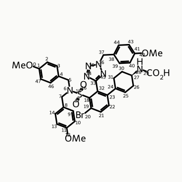 COc1ccc(CN(Cc2ccc(OC)cc2)S(=O)(=O)c2c(Br)ccc(C3=CC[C@H](NC(=O)O)CC3)c2-c2nnn(Cc3ccc(OC)cc3)n2)cc1